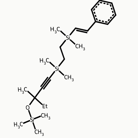 CCC(C)(C#C[Si](C)(C)CC[Si](C)(C)C=Cc1ccccc1)O[Si](C)(C)C